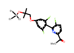 CC[Si](CC)(CC)OC(C)(C)COc1cc(F)c(-c2nc(C(=O)OC)ccc2F)c(F)c1